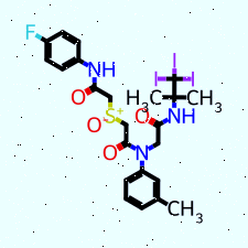 Cc1cccc(N(CC(=O)NC(C)(C)C(I)(I)I)C(=O)C[S+]([O-])CC(=O)Nc2ccc(F)cc2)c1